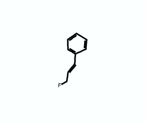 FCC=Cc1ccccc1